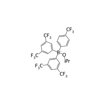 CC(C)O[B-](c1ccc(C(F)(F)F)cc1)(c1cc(C(F)(F)F)cc(C(F)(F)F)c1)c1cc(C(F)(F)F)cc(C(F)(F)F)c1